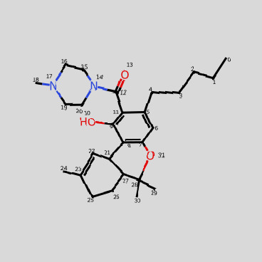 CCCCCc1cc2c(c(O)c1C(=O)N1CCN(C)CC1)C1C=C(C)CCC1C(C)(C)O2